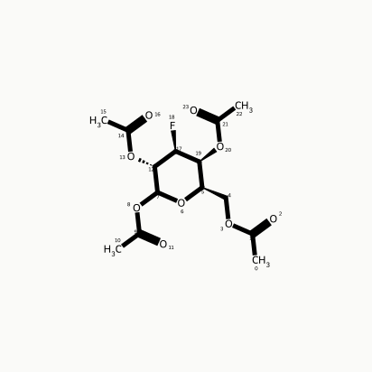 CC(=O)OC[C@H]1OC(OC(C)=O)[C@H](OC(C)=O)[C@@H](F)[C@H]1OC(C)=O